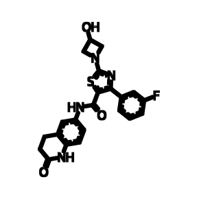 O=C1CCc2cc(NC(=O)c3sc(N4CC(O)C4)nc3-c3cccc(F)c3)ccc2N1